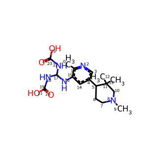 Cc1ncc(C2CCN(C)CC2(C)C)cc1NC(NC(=O)O)NC(=O)O